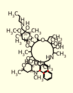 CCCNC[C@]1(O)[C@H](C)O[C@@H](OC2C(C)C(=O)OC(CC)C(C)(O)C(O)C(C)NCC(C)CC(C)(O)C(O[C@@H]3O[C@H](C)C[C@H](N(C)Cc4ccccc4)[C@H]3Oc3ccccc3)C2C)C[C@@]1(C)OC